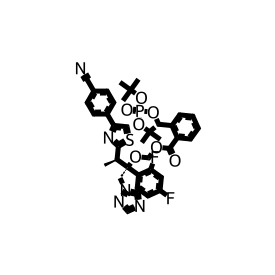 C[C@@H](c1nc(-c2ccc(C#N)cc2)cs1)[C@@](Cn1cncn1)(OCOC(=O)c1ccccc1COP(=O)(OC(C)(C)C)OC(C)(C)C)c1ccc(F)cc1F